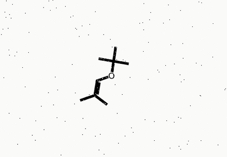 CC(C)=COC(C)(C)C